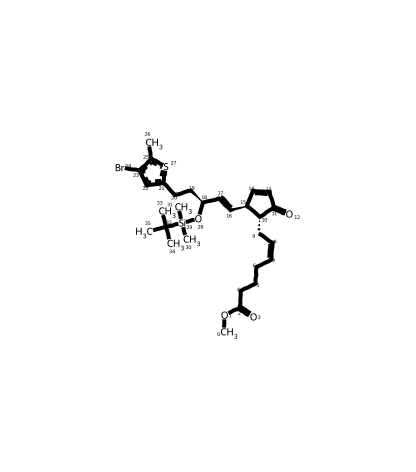 COC(=O)CCC/C=C\C[C@H]1C(=O)C=C[C@@H]1/C=C/[C@H](CCc1cc(Br)c(C)s1)O[Si](C)(C)C(C)(C)C